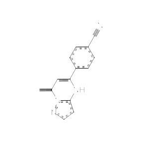 C=C1C=C(c2ccc(C#N)cc2)Nc2ccnn21